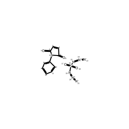 O=C1C=CC(=O)N1c1ccccc1.[N-]=[N+]=NS(=O)(=O)N=[N+]=[N-]